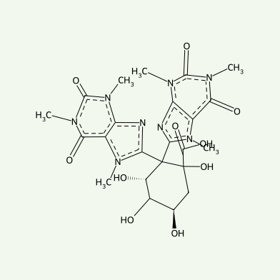 Cn1c(=O)c2c(nc(C3(c4nc5c(c(=O)n(C)c(=O)n5C)n4C)[C@@H](O)C(O)[C@H](O)CC3(O)C(=O)O)n2C)n(C)c1=O